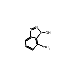 O=[N+]([O-])c1cccc2nnn(O)c12